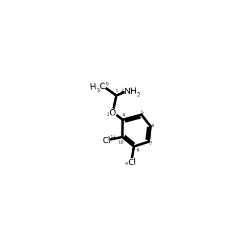 CC(N)Oc1cccc(Cl)c1Cl